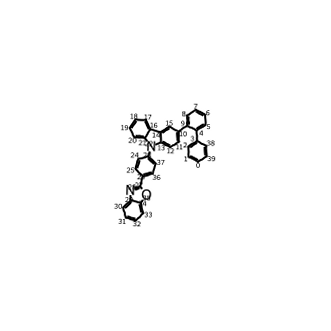 c1ccc(-c2ccccc2-c2ccc3c(c2)c2ccccc2n3-c2ccc(-c3nc4ccccc4o3)cc2)cc1